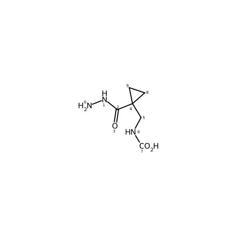 NNC(=O)C1(CNC(=O)O)CC1